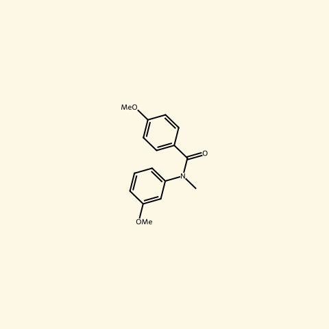 COc1ccc(C(=O)N(C)c2cccc(OC)c2)cc1